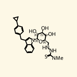 CNC(=S)NNC[C@H]1O[C@@H](n2cc(Cc3ccc(C4CC4)cc3)c3ccccc32)[C@H](O)[C@@H](O)[C@@H]1O